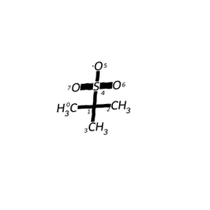 CC(C)(C)S([O])(=O)=O